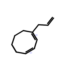 C=CC/C1=C/C=C\CCCC1